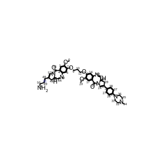 COc1cc2c(cc1OCCCOc1cc3c(cc1OC)C(=O)N1C=C(c4ccc(N5CCN(C)CC5)cc4)C[C@H]1C=N3)N=C[C@@H]1CC(/C=C/CN)=CN1C2=O